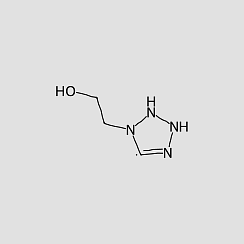 OCCN1[C]=NNN1